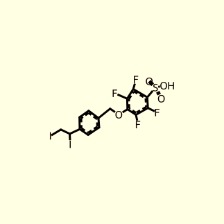 O=S(=O)(O)c1c(F)c(F)c(OCc2ccc(C(I)CI)cc2)c(F)c1F